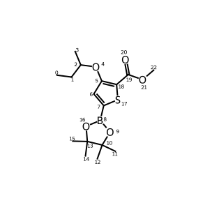 CCC(C)Oc1cc(B2OC(C)(C)C(C)(C)O2)sc1C(=O)OC